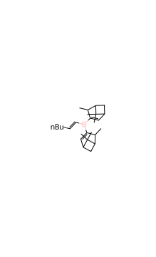 CCCCC=CB(C1=CC2CC(C1C)C2(C)C)C1=CC2CC(C1C)C2(C)C